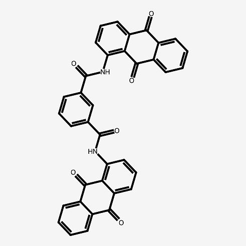 O=C(Nc1cccc2c1C(=O)c1ccccc1C2=O)c1cccc(C(=O)Nc2cccc3c2C(=O)c2ccccc2C3=O)c1